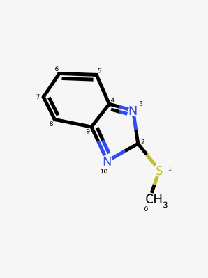 CSC1N=c2ccccc2=N1